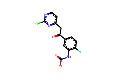 O=C(O)Nc1cc(C(=O)Cc2ccnc(Cl)n2)ccc1F